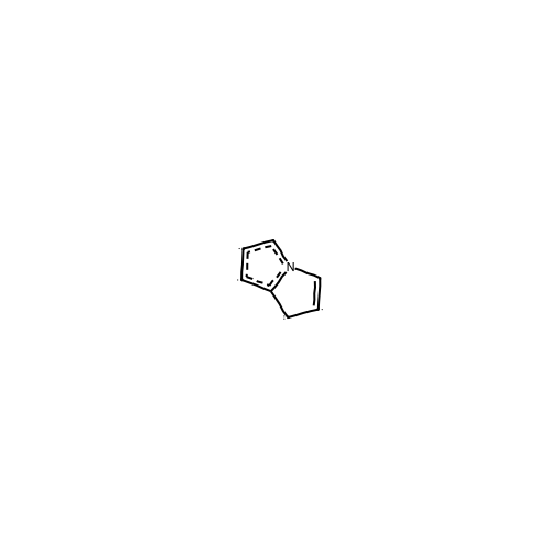 [C]1[C]=Cn2c[c][c]c21